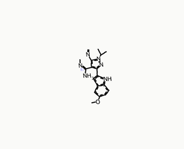 C=Nc1c(/C(N)=N\C)c(-c2cc3cc(OC)ccc3[nH]2)nn1C(C)C